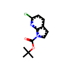 CC(C)(C)OC(=O)n1ccc2ccc(Cl)nc21